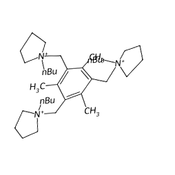 CCCC[N+]1(Cc2c(C)c(C[N+]3(CCCC)CCCC3)c(C)c(C[N+]3(CCCC)CCCC3)c2C)CCCC1